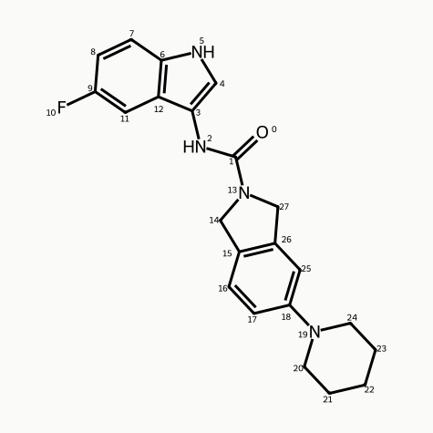 O=C(Nc1c[nH]c2ccc(F)cc12)N1Cc2ccc(N3CCCCC3)cc2C1